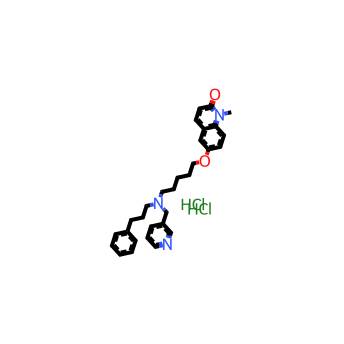 Cl.Cl.Cn1c(=O)ccc2cc(OCCCCCN(CCCc3ccccc3)Cc3cccnc3)ccc21